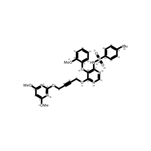 COc1cc(OC)nc(OCC#CCOc2ncnc(NS(=O)(=O)c3ccc(C(C)(C)C)cc3)c2Oc2ccccc2OC)n1